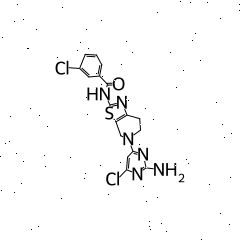 Nc1nc(Cl)cc(N2CCc3nc(NC(=O)c4cccc(Cl)c4)sc3C2)n1